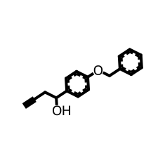 C#CCC(O)c1ccc(OCc2ccccc2)cc1